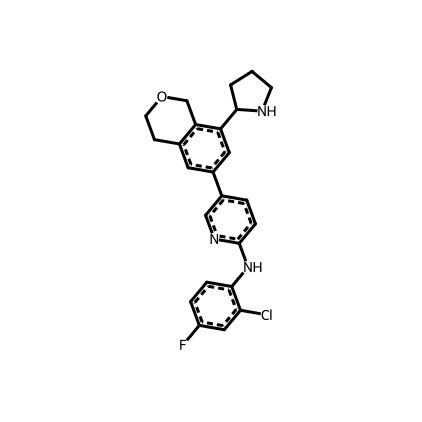 Fc1ccc(Nc2ccc(-c3cc4c(c(C5CCCN5)c3)COCC4)cn2)c(Cl)c1